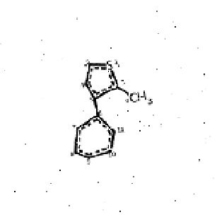 Cc1s[c]cc1-c1ccccc1